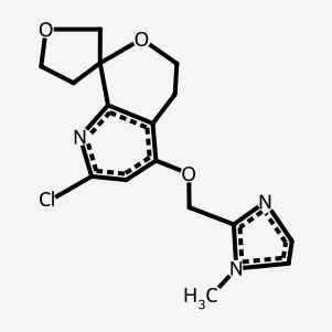 Cn1ccnc1COc1cc(Cl)nc2c1CCOC21CCOC1